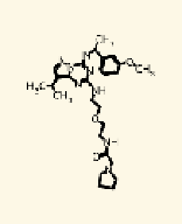 COc1cccc([C@H](C)Nc2nc(NCCOCCNC(=O)CN3CCCC3)nc3c(C(C)C)cnn23)c1